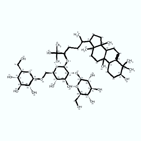 CC(CCC(O[C@@H]1O[C@H](CO[C@@H]2O[C@H](CO)[C@@H](O)[C@H](O)[C@H]2O)[C@@H](O)[C@H](O)[C@H]1O[C@@H]1O[C@H](CO)[C@@H](O)[C@H](O)[C@H]1O)C(C)(C)O)C1CCC2(C)C3CC=C4C(CC[C@H](O)C4(C)C)C3(C)CCC12C